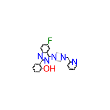 Oc1ccccc1-c1nc(N2CCN(Cc3ccccn3)CC2)c2cc(F)ccc2n1